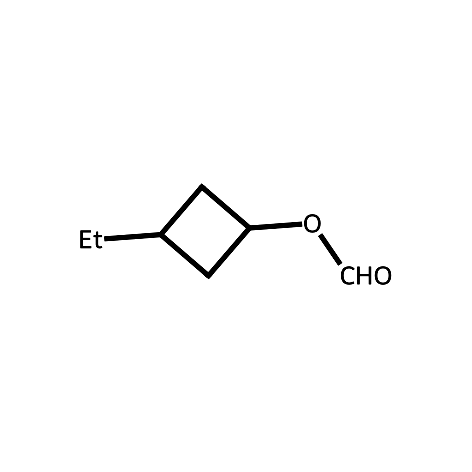 CCC1CC(OC=O)C1